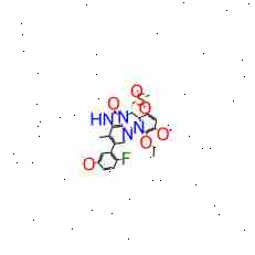 CCOc1nc([C@@H](CS(C)(=O)=O)n2c(=O)[nH]c3c(C)c(-c4cc(OC)ccc4F)cnc32)ccc1OC